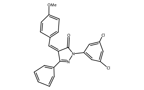 COc1ccc(C=C2C(=O)N(c3cc(Cl)cc(Cl)c3)N=C2c2ccccc2)cc1